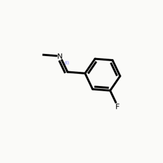 C/N=C/c1cccc(F)c1